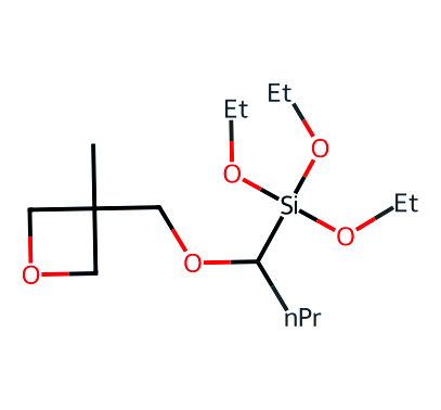 CCCC(OCC1(C)COC1)[Si](OCC)(OCC)OCC